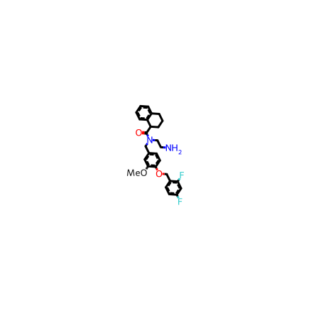 COc1cc(CN(CCN)C(=O)C2CCCc3ccccc32)ccc1OCc1ccc(F)cc1F